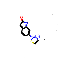 O=C1C=c2ccc(N3NC=CS3)cc2=N1